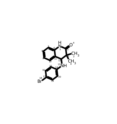 CC1(C)C(=O)Nc2ccccc2C1Nc1ccc(Br)cc1